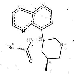 CC[C@@H](C)C(=O)N[C@]1(c2ccnc3nccnc23)CNC[C@@H](C)C1